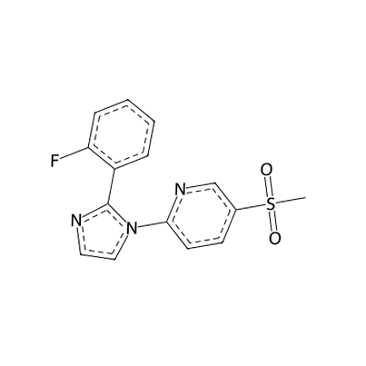 CS(=O)(=O)c1ccc(-n2ccnc2-c2ccccc2F)nc1